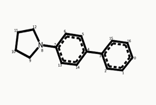 [c]1ccc(-c2ccc(N3CCCC3)cc2)cc1